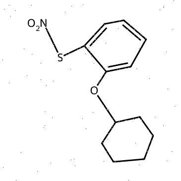 O=[N+]([O-])Sc1ccccc1OC1CCCCC1